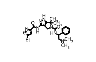 CCc1cc(C(=O)Nc2n[nH]c3c2CN(C(=O)NC(CN(C)C)c2ccccc2)C3(C)C)no1